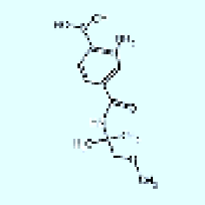 COCC(C)(C)NC(=O)c1ccc(B(O)O)c(N)c1